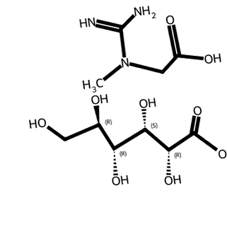 CN(CC(=O)O)C(=N)N.O=C(O)[C@H](O)[C@@H](O)[C@H](O)[C@H](O)CO